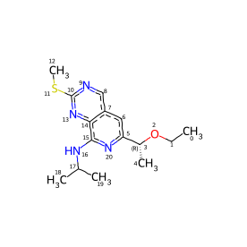 CCO[C@H](C)c1cc2cnc(SC)nc2c(NC(C)C)n1